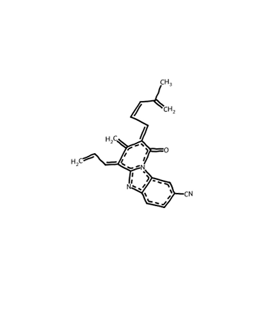 C=C/C=c1\c(=C)/c(=C\C=C/C(=C)C)c(=O)n2c1nc1ccc(C#N)cc12